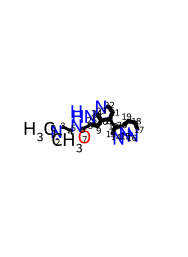 CN(C)CCNC(=O)c1cc2c(-c3cnn4ncccc34)ccnc2[nH]1